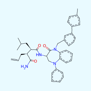 C=CC[C@H](C(N)=O)[C@@H](CC(C)C)C(=O)NC1CN(c2ccccc2)c2ccccc2N(Cc2cccc(-c3ccc(C)cc3)c2)C1=O